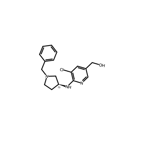 OCc1cnc(N[C@H]2CCN(Cc3ccccc3)C2)c(Cl)c1